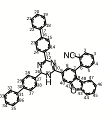 N#Cc1ccccc1-c1cc(C2=NC(c3ccc(-c4ccccc4)cc3)=NC(c3ccc(-c4ccccc4)cc3)N2)cc2oc3ccccc3c12